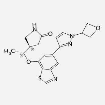 C[C@@H](Oc1cc(-c2ccn(C3COC3)n2)cc2ncsc12)[C@H]1CNC(=O)C1